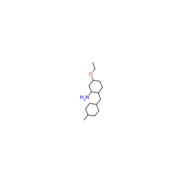 CCOC1CCC(CC2CCC(C)CC2)C(N)C1